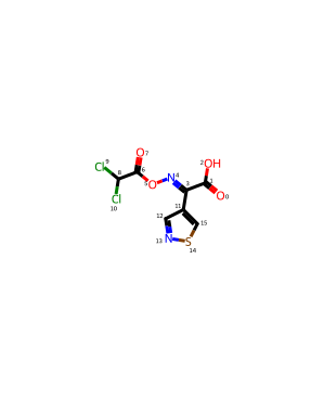 O=C(O)/C(=N/OC(=O)C(Cl)Cl)c1cnsc1